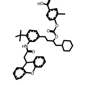 Cc1cc(C(=O)O)ccc1OC(=O)OC(CCc1ccc(C(C)(C)C)c(NC(=O)CC2c3ccccc3Oc3ccccc32)c1)CC1CCCCC1